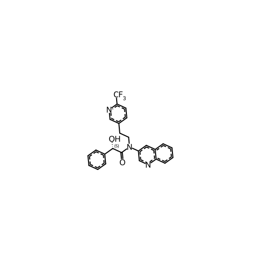 O=C([C@@H](O)c1ccccc1)N(CCc1ccc(C(F)(F)F)nc1)c1cnc2ccccc2c1